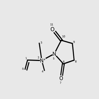 C=C[N+](C)(C)N1C(=O)CCC1=O